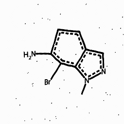 Cn1ncc2ccc(N)c(Br)c21